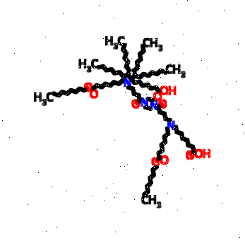 CCCCCCCCCOC(=O)CCCCCCCN(CCCCCCCC(=O)O)CCCCC(=O)N1CCN(C(=O)CCCCN(CCCCCCCC(=O)OCCCCCCCCC)C(CCCCCCC(=O)O)(C(CCCCCCCC)CCCCCCCC)C(CCCCCCCC)CCCCCCCC)CC1